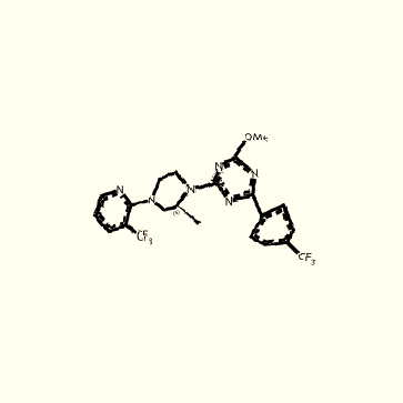 COc1nc(-c2ccc(C(F)(F)F)cc2)nc(N2CCN(c3ncccc3C(F)(F)F)C[C@@H]2C)n1